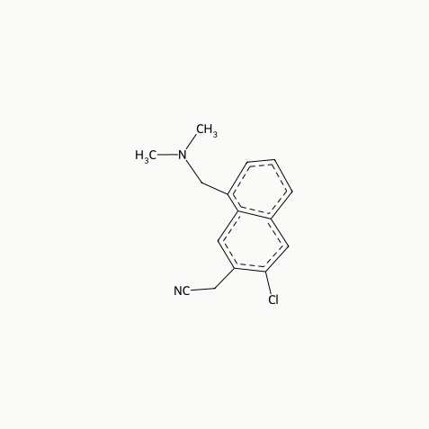 CN(C)Cc1cccc2cc(Cl)c(CC#N)cc12